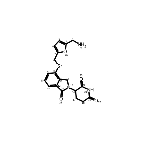 NCc1ccc(CSc2cccc3c2CN(C2CCC(=O)NC2=O)C3=O)o1